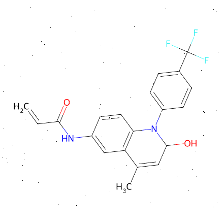 C=CC(=O)Nc1ccc2c(c1)C(C)=CC(O)N2c1ccc(C(F)(F)F)cc1